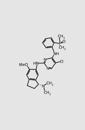 COc1cc2c(cc1Nc1ncc(Cl)c(Nc3ccccc3P(C)(C)=O)n1)[C@H](N(C)C)CC2